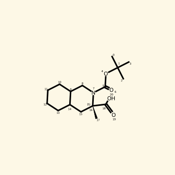 CC(C)(C)OC(=O)N1CC2CCCCC2C[C@@]1(C)C(=O)O